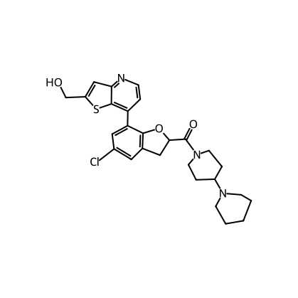 O=C(C1Cc2cc(Cl)cc(-c3ccnc4cc(CO)sc34)c2O1)N1CCC(N2CCCCC2)CC1